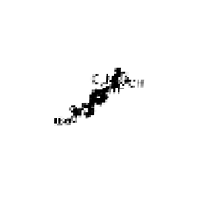 Cc1nc(O)nc(NCc2ccc(C3CCN(C(=O)OC(C)(C)C)C3)cc2)c1[N+](=O)[O-]